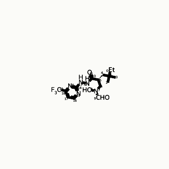 CCC(C)(C)C[C@H](CN(O)C=O)C(=O)NNc1nccc(C(F)(F)F)n1